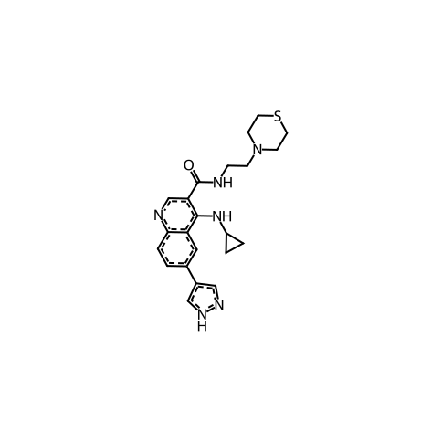 O=C(NCCN1CCSCC1)c1cnc2ccc(-c3cn[nH]c3)cc2c1NC1CC1